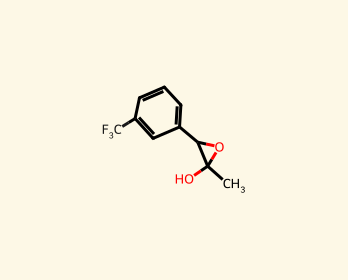 CC1(O)OC1c1cccc(C(F)(F)F)c1